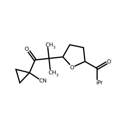 CC(C)C(=O)C1CCC(C(C)(C)C(=O)C2(C#N)CC2)O1